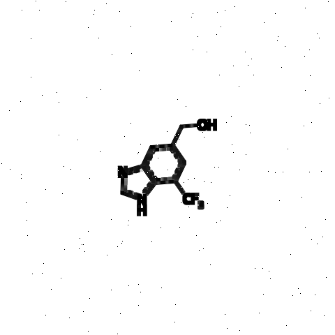 OCc1cc(C(F)(F)F)c2[nH]cnc2c1